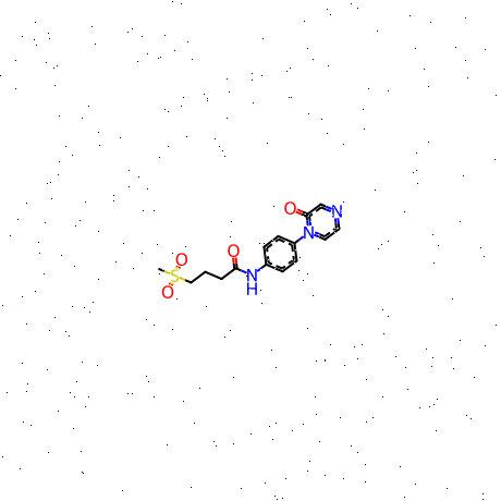 CS(=O)(=O)CCCC(=O)Nc1ccc(-n2ccncc2=O)cc1